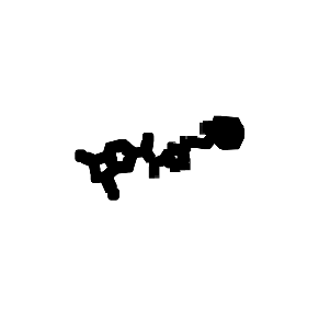 CC1(C)C2CC[C@@H](CNc3nnc(NC(=O)c4ccc5c(c4)C(=O)OC5=O)s3)C1C2